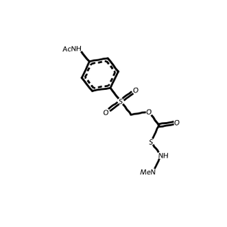 CNNSC(=O)OCS(=O)(=O)c1ccc(NC(C)=O)cc1